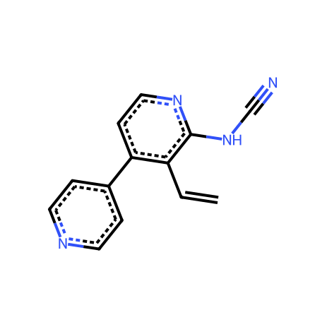 C=Cc1c(-c2ccncc2)ccnc1NC#N